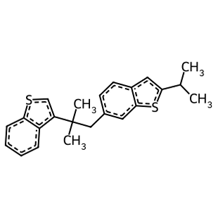 CC(C)c1cc2ccc(CC(C)(C)c3csc4ccccc34)cc2s1